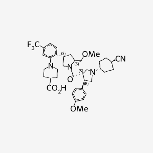 COC[C@@H]1C[C@@H](c2ccc(C(F)(F)F)cc2N2CCC(C(=O)O)CC2)CN1C(=O)[C@@H]1CN([C@H]2CC[C@H](C#N)CC2)C[C@H]1c1ccc(OC)cc1